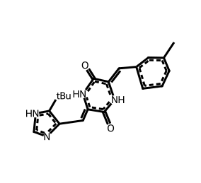 Cc1cccc(/C=c2\[nH]c(=O)/c(=C/c3nc[nH]c3C(C)(C)C)[nH]c2=O)c1